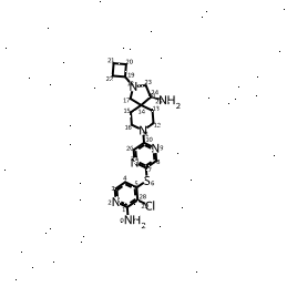 Nc1nccc(Sc2cnc(N3CCC4(CC3)CN(C3CCC3)C[C@H]4N)cn2)c1Cl